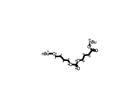 CCCCOCCCCOC(=O)OCCCC(=O)OCCCC